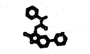 CN(C(=O)Cn1c(=O)oc2ccc(-c3cccnc3)cc21)c1ccccc1